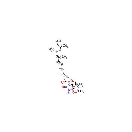 CCC(C)CC(C)/C=C(C)/C=C/C=C/C=C/C(=O)[C@]12O[C@H]1[C@](O)(C(C)C)NC2=O